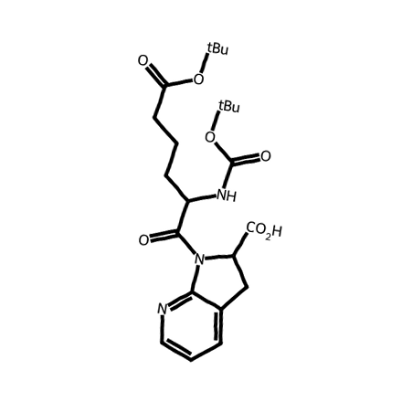 CC(C)(C)OC(=O)CCCC(NC(=O)OC(C)(C)C)C(=O)N1c2ncccc2CC1C(=O)O